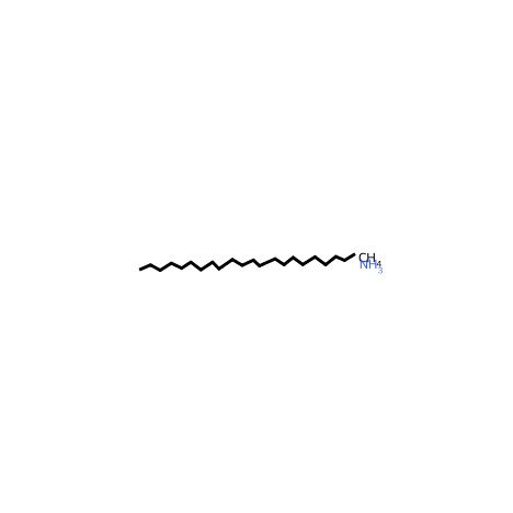 C.CCCCCCCCCCCCCCCCCCCCCC.N